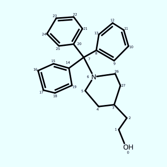 OCCC1CCN(C(c2ccccc2)(c2ccccc2)c2ccccc2)CC1